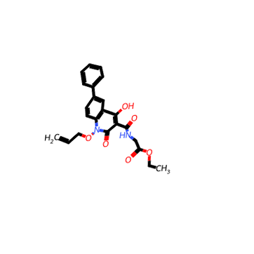 C=CCOn1c(=O)c(C(=O)NCC(=O)OCC)c(O)c2cc(-c3ccccc3)ccc21